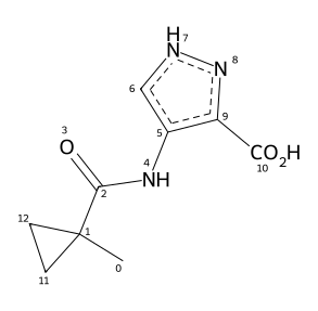 CC1(C(=O)Nc2c[nH]nc2C(=O)O)CC1